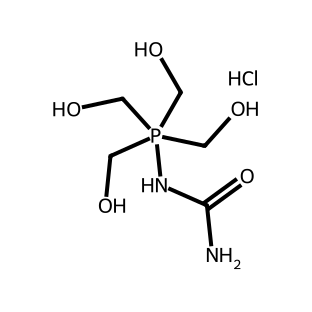 Cl.NC(=O)NP(CO)(CO)(CO)CO